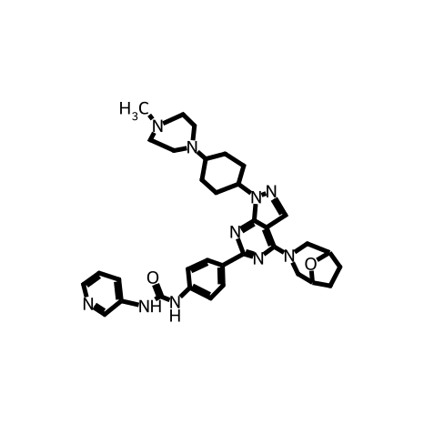 CN1CCN(C2CCC(n3ncc4c(N5CC6CCC(C5)O6)nc(-c5ccc(NC(=O)Nc6cccnc6)cc5)nc43)CC2)CC1